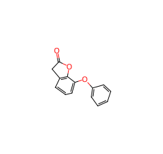 O=C1Cc2cccc(Oc3ccccc3)c2O1